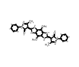 CC(=O)Oc1c2c(c(OC(C)=O)c3c1SC(=C1C(=O)N(c4ccccc4)N=C1C)S3)SC(=C1C(=O)N(c3ccccc3)N=C1C)S2